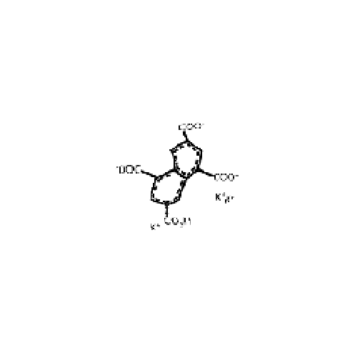 O=C([O-])c1cc(C(=O)[O-])c2cc(C(=O)O)cc(C(=O)[O-])c2c1.[K+].[K+].[K+]